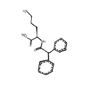 NCCC[C@@H](NC(=O)C(c1ccccc1)c1ccccc1)C(=O)O